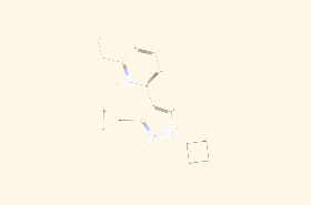 CCc1cccc(-c2cn(C3CCC3)nc2C2CC2)n1